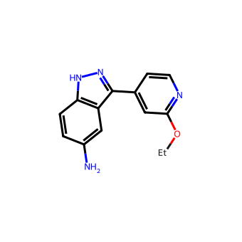 CCOc1cc(-c2n[nH]c3ccc(N)cc23)ccn1